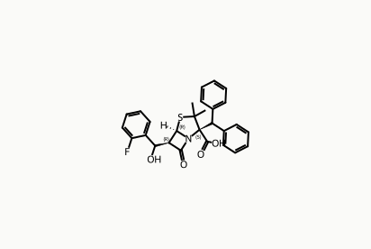 CC1(C)S[C@@H]2[C@H](C(O)c3ccccc3F)C(=O)N2[C@]1(C(=O)O)C(c1ccccc1)c1ccccc1